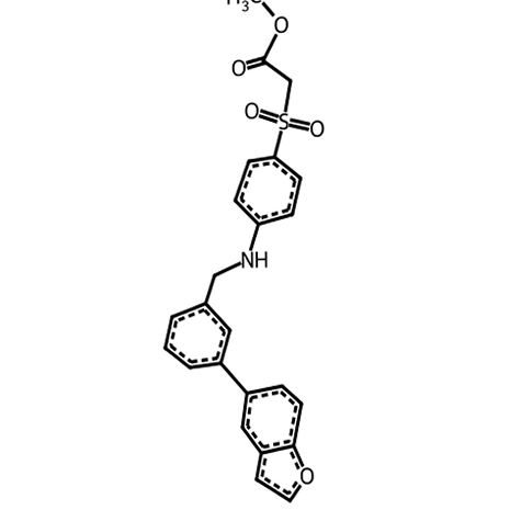 COC(=O)CS(=O)(=O)c1ccc(NCc2cccc(-c3ccc4occc4c3)c2)cc1